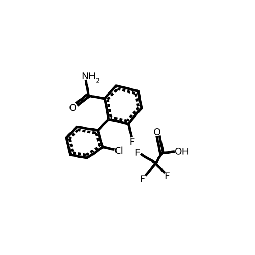 NC(=O)c1cccc(F)c1-c1ccccc1Cl.O=C(O)C(F)(F)F